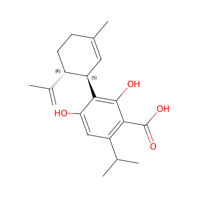 C=C(C)[C@@H]1CCC(C)=C[C@H]1c1c(O)cc(C(C)C)c(C(=O)O)c1O